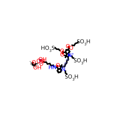 C[C@H]1C[C@@H](O)[C@@H](COP(=O)(O)OCCCCCCNC(=O)c2cccc3c2C(C)(C)\C(=C/C=C/C=C/C2=[N+](CCCS(=O)(=O)O)c4cc(C(=O)OCCCCS(=O)(=O)O)cc(C(=O)OCCCCS(=O)(=O)O)c4C2(C)C)N3CCCS(=O)(=O)O)O1